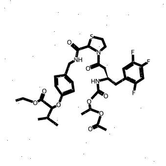 CCOC(=O)C(Oc1ccc(CNC(=O)C2SCCN2C(=O)C[C@@H](Cc2cc(F)c(F)cc2F)NC(=O)OC(C)OC(C)=O)cc1)C(C)C